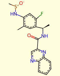 Cc1cc([C@@H](C)NC(=O)c2cnc3ccccc3n2)c(F)cc1N[S+](C)[O-]